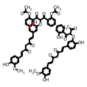 COc1cc(C=CC(=O)CC(=O)C=Cc2ccc(O)c(OC(C(=O)c3ccccc3OC(C)=O)C(=O)c3ccccc3OC(C)=O)c2)ccc1O.COc1cc(C=CC(=O)CC(=O)C=Cc2ccc(O)c(OC(C(C)=O)C(=O)c3ccccc3O)c2)ccc1O